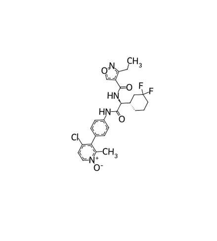 CCc1nocc1C(=O)N[C@H](C(=O)Nc1ccc(-c2c(Cl)cc[n+]([O-])c2C)cc1)[C@H]1CCCC(F)(F)C1